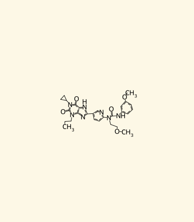 CCCn1c(=O)n(C2CC2)c(=O)c2[nH]c(-c3ccc(N(CCOC)C(=O)Nc4cccc(OC)c4)nc3)nc21